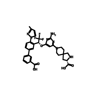 Cc1ccn(-c2ccc(-c3cccc(C(=O)O)c3)cc2[C@@H](Oc2cc(N3CCC4(CC3)CN[C@H](C(=O)O)C4)nc(N)n2)C(F)(F)F)n1